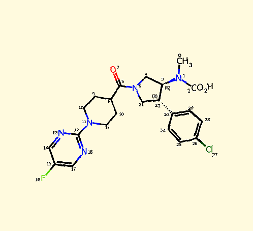 CN(C(=O)O)[C@@H]1CN(C(=O)C2CCN(c3ncc(F)cn3)CC2)C[C@H]1c1ccc(Cl)cc1